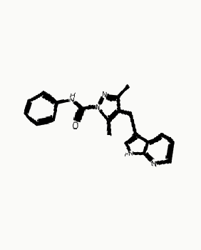 Cc1nn(C(=O)Nc2ccccc2)c(C)c1Cc1c[nH]c2ncccc12